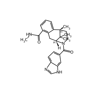 CNC(=O)c1cccc2c1C[C@H]1N(C(=O)c3ccc4nc[nH]c4c3)CC[C@]2(C)C1(C)C